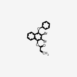 C=CC(=O)Oc1c(Br)c(Br)c(Oc2ccccc2)c2ccccc12